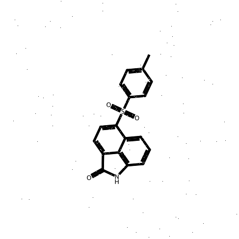 Cc1ccc(S(=O)(=O)c2ccc3c4c(cccc24)NC3=O)cc1